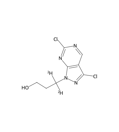 [2H]C([2H])(CCO)n1nc(Cl)c2cnc(Cl)nc21